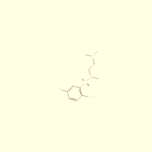 CNc1ccc(N)cc1S(=O)(=O)N(C)CCN(C)C